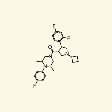 C[C@@H]1CN(C(=O)[C@H]2CN(C3CCC3)C[C@@H]2c2ccc(F)cc2F)C[C@H](C)N1c1ccc(F)cc1